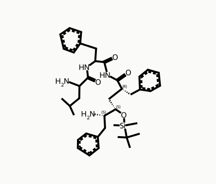 CC(C)CC(N)C(=O)NC(Cc1ccccc1)C(=O)NC(=O)[C@H](Cc1ccccc1)C[C@H](O[Si](C)(C)C(C)(C)C)[C@@H](N)Cc1ccccc1